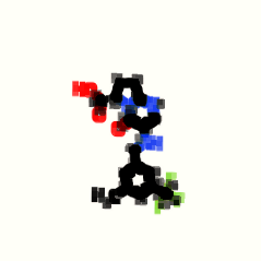 Cc1cc(CNc2cnc3n(c2=O)[C@H](C(=O)O)CC3)cc(C(F)(F)F)c1